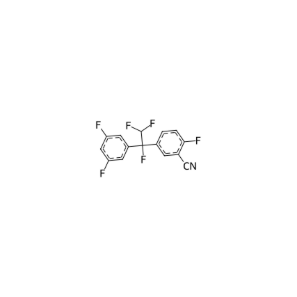 N#Cc1cc(C(F)(c2cc(F)cc(F)c2)C(F)F)ccc1F